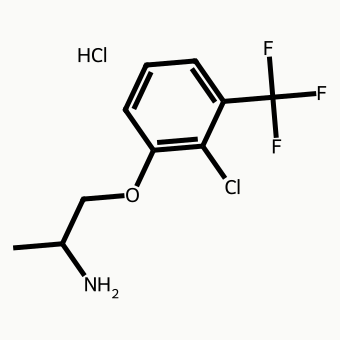 CC(N)COc1cccc(C(F)(F)F)c1Cl.Cl